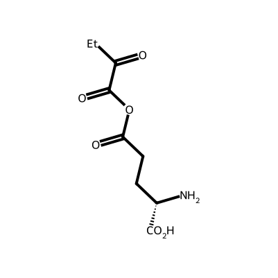 CCC(=O)C(=O)OC(=O)CC[C@H](N)C(=O)O